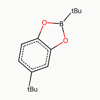 CC(C)(C)B1Oc2ccc(C(C)(C)C)cc2O1